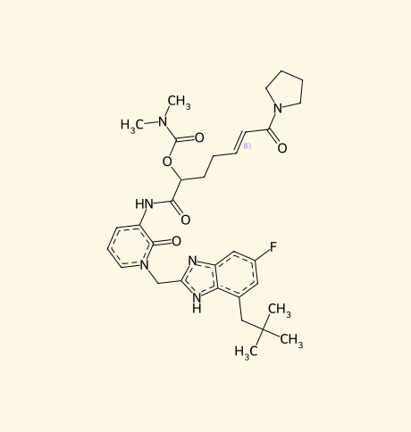 CN(C)C(=O)OC(CC/C=C/C(=O)N1CCCC1)C(=O)Nc1cccn(Cc2nc3cc(F)cc(CC(C)(C)C)c3[nH]2)c1=O